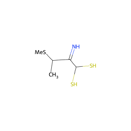 CSC(C)C(=N)C(S)S